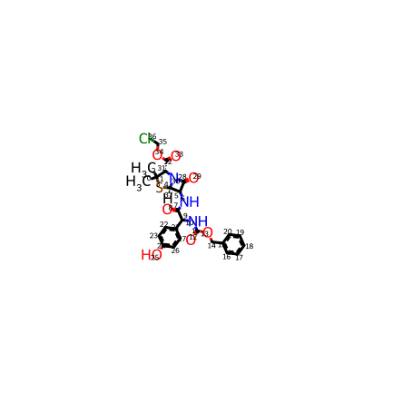 CC1(C)S[C@@H]2C(NC(=O)C(NC(=O)OCc3ccccc3)c3ccc(O)cc3)C(=O)N2[C@H]1C(=O)OCCl